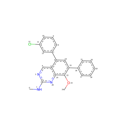 CNc1ncc2c(-c3cccc(Cl)c3)cc(-c3ccccc3)c(OC)c2n1